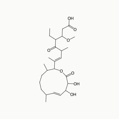 CCC(C(=O)C(C)/C=C(\C)C1OC(=O)C(O)C(O)/C=C/C(C)CCCC1C)C(CC(=O)O)OC